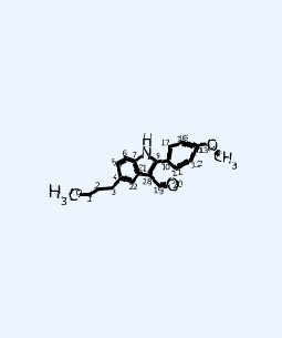 CCCCc1ccc2[nH]c(-c3ccc(OC)cc3)c(C=O)c2c1